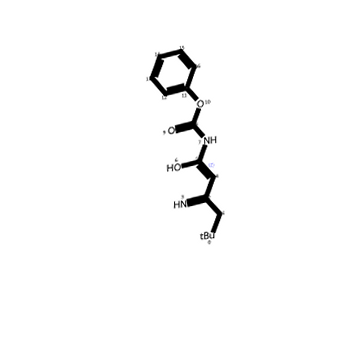 CC(C)(C)CC(=N)/C=C(\O)NC(=O)Oc1ccccc1